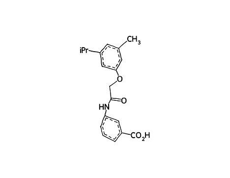 Cc1cc(OCC(=O)Nc2cccc(C(=O)O)c2)cc(C(C)C)c1